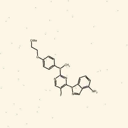 COCCOc1ccc(N(C)c2ncc(F)c(-n3ncc4c(N)cccc43)n2)cc1